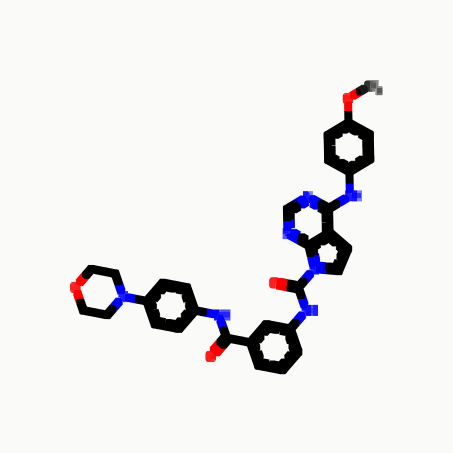 O=C(Nc1ccc(N2CCOCC2)cc1)c1cccc(NC(=O)n2ccc3c(Nc4ccc(OC(F)(F)F)cc4)ncnc32)c1